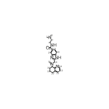 CN(C)CCNC(=O)c1ccc2[nH]c(CN(C)C3CCCc4cccnc43)nc2c1